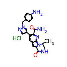 CC1CNC(=O)c2cc3cc(-c4cnn(Cc5ccc(N)cc5)c4)c(C(N)=O)nc3n21.Cl